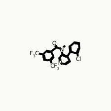 CN(C(=O)c1cc(C(F)(F)F)cc(C(F)(F)F)c1)c1cnccc1-c1ccccc1Cl